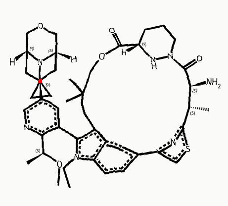 CCn1c(-c2cc([C@@H]3C[C@H]4COC[C@@H](C3)N4C3CC3)cnc2[C@H](C)OC)c2c3cc(ccc31)-c1csc(n1)[C@@H](C)[C@H](N)C(=O)N1CCC[C@H](N1)C(=O)OCC(C)(C)C2